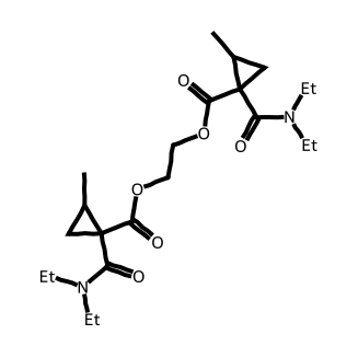 CCN(CC)C(=O)C1(C(=O)OCCOC(=O)C2(C(=O)N(CC)CC)CC2C)CC1C